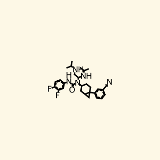 CC(C)NCC(NC(C)C)N(C(=O)Nc1ccc(F)c(F)c1)C1CCC2(c3cccc(C#N)c3)CC2C1